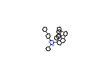 c1ccc(-c2ccc(-c3nc(-c4ccccc4)nc(-c4ccc5ccc6c(c5c4)C(c4ccccc4)(c4ccccc4)c4c(-c5ccccc5-c5ccccc5)cccc4-6)n3)cc2)cc1